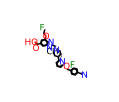 Cn1c(CN2CCC(c3cccc(OCc4ccc(C#N)cc4F)n3)CC2)nc2c(OCCF)cc(C(=O)O)cc21